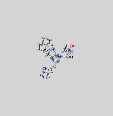 Cn1ccnc1CCOc1nc(N2C[C@H]3C[C@@H](O)[C@@H](C2)N3)c2cnc(-c3cccc4cccc(Cl)c34)c(F)c2n1